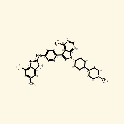 Cc1cc(C)c2nc(Nc3ccc(-c4cn([C@H]5CC[C@H](N6CCN(C)CC6)CC5)c5ncnc(N)c45)cc3)[nH]c2c1